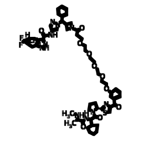 CNC(C)C(=O)NC(C(=O)N1CCC[C@H]1c1nc(C(=O)c2cccc(OCCOCCOCCOCCOCCC(=O)N3CC(C(c4ccccc4)n4cc(NC(=O)c5n[nH]c6c5C[C@@H]5C(F)(F)[C@]5(C)C6)cn4)C3)c2)cs1)C1CCCCC1